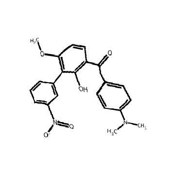 COc1ccc(C(=O)c2ccc(N(C)C)cc2)c(O)c1-c1cccc([N+](=O)[O-])c1